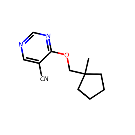 CC1(COc2ncncc2C#N)CCCC1